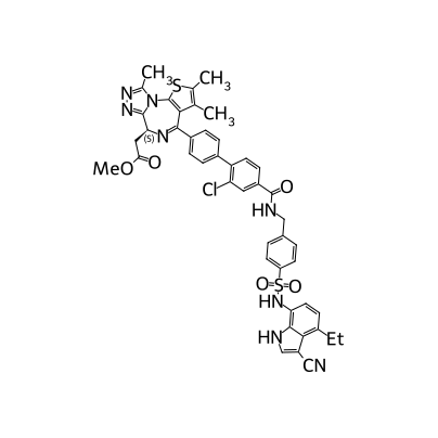 CCc1ccc(NS(=O)(=O)c2ccc(CNC(=O)c3ccc(-c4ccc(C5=N[C@@H](CC(=O)OC)c6nnc(C)n6-c6sc(C)c(C)c65)cc4)c(Cl)c3)cc2)c2[nH]cc(C#N)c12